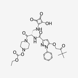 CCOC(=O)ON1CCN(C(=O)[C@H](CNc2c(O)c(=O)c2=O)NC(=O)c2cc(OCC(=O)C(C)(C)C)n(-c3ccccc3)n2)CC1